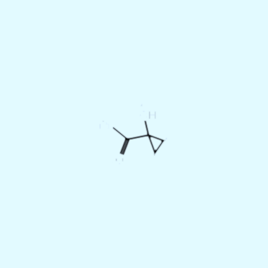 CC(C)C(=O)C1(O)CC1